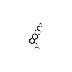 CC(C)Cc1cccc2cc3c(cc12)CC=C(C=O)C3